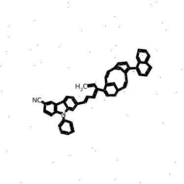 C=C/C(=C\C=C\c1ccc2c3cc(C#N)ccc3n(-c3ccccc3)c2c1)C1=CCC2C=C1/C=C\c1ccc(-c3cccc4ccccc34)c(c1)/C=C\2